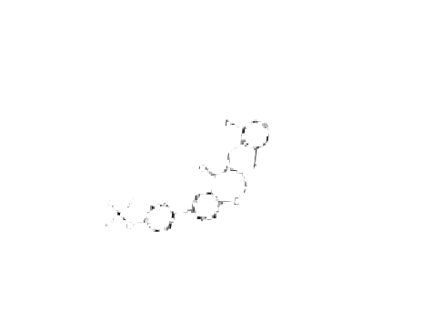 O=C1c2cc(-c3ccc(OC(F)(F)F)cc3)ccc2OCCN1Cc1c(F)cccc1F